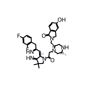 C[C@@H]1CN(CC(=O)N2CC(C)(C)C(=N)/C2=C\C(=N)Cc2ccc(F)cc2F)[C@@H](CN2Cc3cc(O)ccc3C2=O)CN1